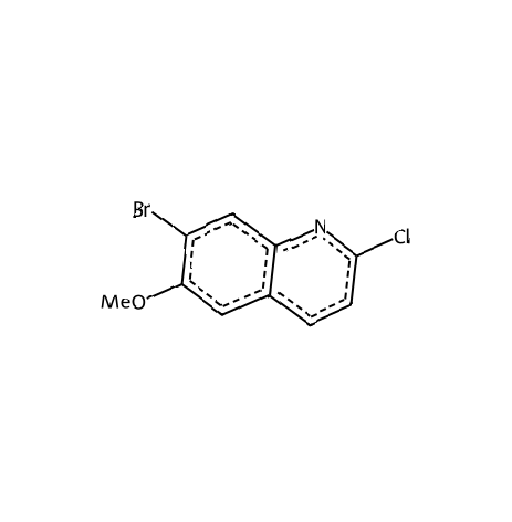 COc1cc2ccc(Cl)nc2cc1Br